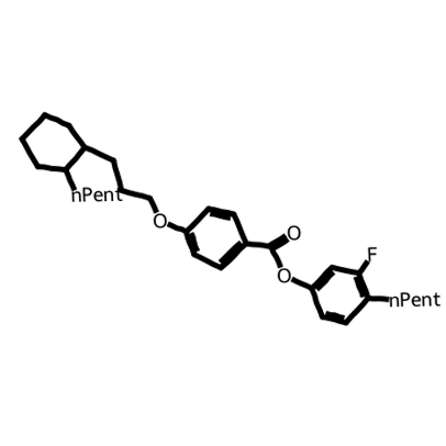 CCCCCc1ccc(OC(=O)c2ccc(OCCCC3CCCCC3CCCCC)cc2)cc1F